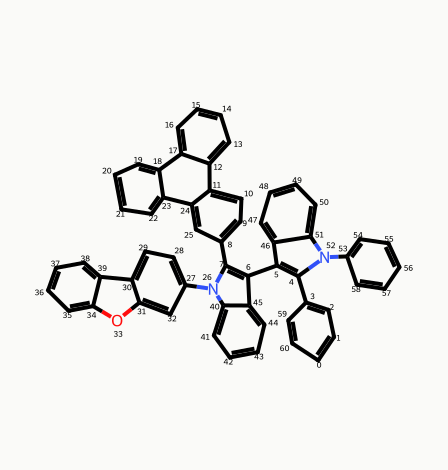 c1ccc(-c2c(-c3c(-c4ccc5c6ccccc6c6ccccc6c5c4)n(-c4ccc5c(c4)oc4ccccc45)c4ccccc34)c3ccccc3n2-c2ccccc2)cc1